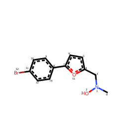 CN(O)Cc1ccc(-c2ccc(Br)cc2)o1